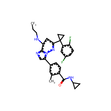 Cc1cc(-c2cnc3c(NCCC(F)(F)F)cc(C4(c5cc(F)ccc5F)CC4)nn23)ccc1C(=O)NC1CC1